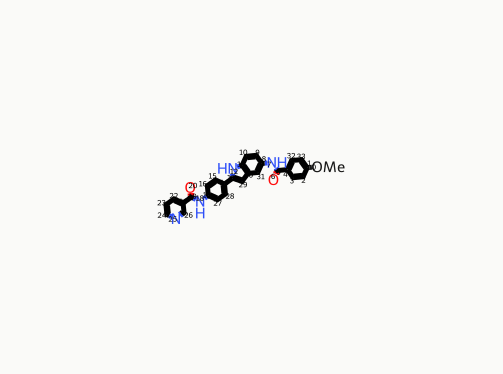 COc1ccc(C(=O)Nc2ccc3[nH]c(-c4ccc(NC(=O)c5cccnc5)cc4)cc3c2)cc1